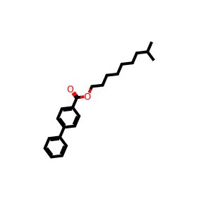 CC(C)CCCCCCCOC(=O)c1ccc(-c2ccccc2)cc1